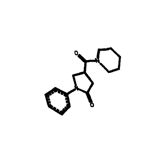 O=C(C1CC(=O)N(c2ccccc2)C1)N1CCCCC1